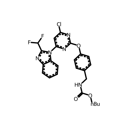 CCCCOC(=O)NCc1ccc(Oc2nc(Cl)cc(-n3c(C(F)F)nc4ccccc43)n2)cc1